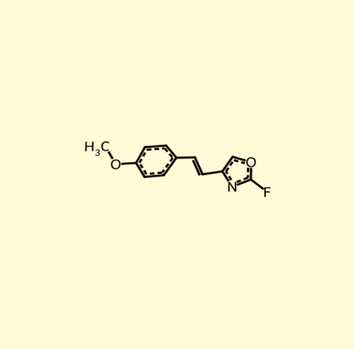 COc1ccc(C=Cc2coc(F)n2)cc1